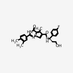 Cc1ccc(-c2nn3cc(C(=O)N[C@H](CCO)c4ccc(F)cc4)c(C)c3c(=O)[nH]2)cc1C